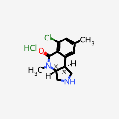 Cc1cc(Cl)c2c(c1)[C@H]1CNC[C@@H]1N(C)C2=O.Cl